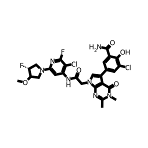 COC1CN(c2cc(NC(=O)Cn3cc(-c4cc(Cl)c(O)c(C(N)=O)c4)c4c(=O)n(C)c(C)nc43)c(Cl)c(F)n2)C[C@H]1F